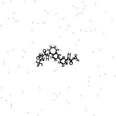 CC(C)(C)c1nc(C(=O)N[C@@H]2CCCCc3cc(-c4ccnc(NC(=O)C5CC5)c4)ccc32)co1